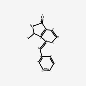 CC1OC(=O)C2=C1C(=Cc1ccccc1)CC=C2